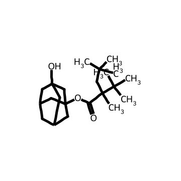 CC(C)(C)CC(C)(C(=O)OC12CC3CC(CC(O)(C3)C1)C2)C(C)(C)C